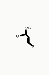 CSC(C)/C=C/F